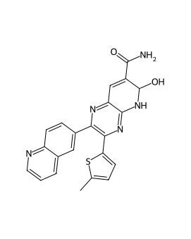 Cc1ccc(-c2nc3c(nc2-c2ccc4ncccc4c2)C=C(C(N)=O)C(O)N3)s1